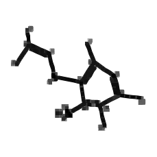 CC(C)=CSc1c(C)cc(C)c(C)c1N